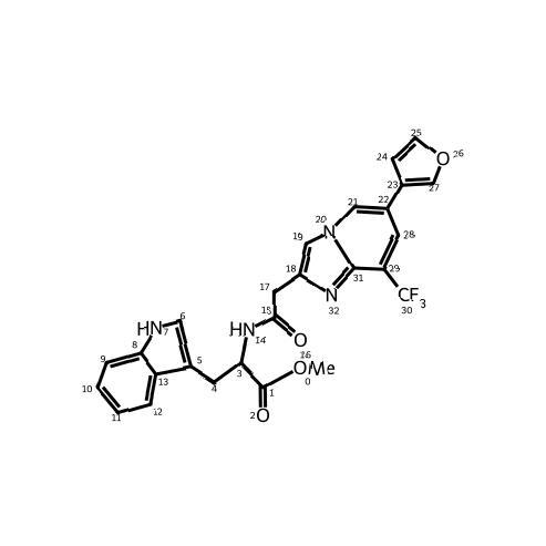 COC(=O)C(Cc1c[nH]c2ccccc12)NC(=O)Cc1cn2cc(-c3ccoc3)cc(C(F)(F)F)c2n1